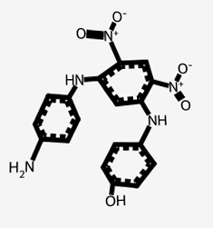 Nc1ccc(Nc2cc(Nc3ccc(O)cc3)c([N+](=O)[O-])cc2[N+](=O)[O-])cc1